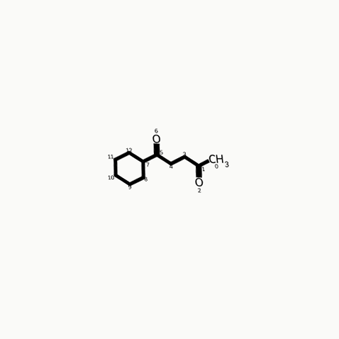 CC(=O)CCC(=O)C1CCCCC1